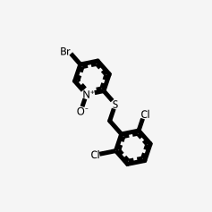 [O-][n+]1cc(Br)ccc1SCc1c(Cl)cccc1Cl